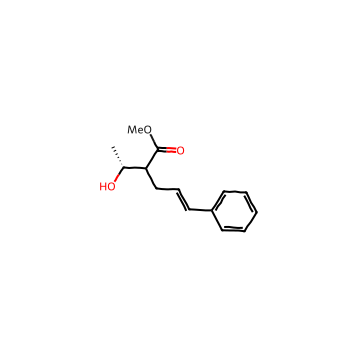 COC(=O)C(C/C=C/c1ccccc1)[C@@H](C)O